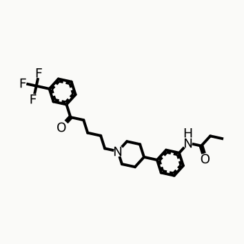 CCC(=O)Nc1cccc(C2CCN(CCCCC(=O)c3cccc(C(F)(F)F)c3)CC2)c1